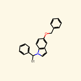 [CH2]CC(c1ccccc1)n1ccc2cc(OCc3ccccc3)ccc21